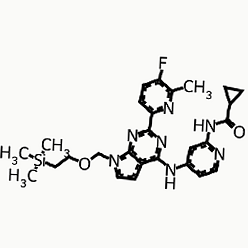 Cc1nc(-c2nc(Nc3ccnc(NC(=O)C4CC4)c3)c3ccn(COCC[Si](C)(C)C)c3n2)ccc1F